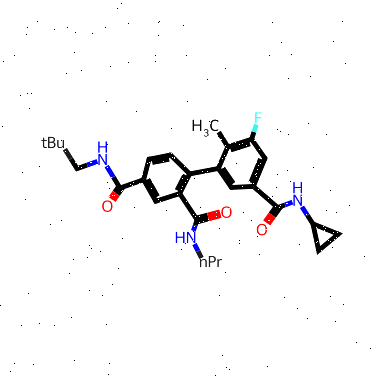 CCCNC(=O)c1cc(C(=O)NCC(C)(C)C)ccc1-c1cc(C(=O)NC2CC2)cc(F)c1C